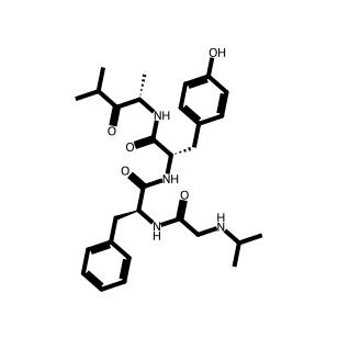 CC(C)NCC(=O)N[C@@H](Cc1ccccc1)C(=O)N[C@@H](Cc1ccc(O)cc1)C(=O)N[C@@H](C)C(=O)C(C)C